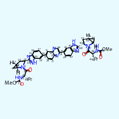 COC(=O)N[C@H](C(=O)N1[C@@H]2C[C@@H]2C[C@H]1c1nc2ccc(-c3ccc4nc(-c5ccc6nc([C@@H]7C[C@H]8C[C@H]8N7C(=O)[C@@H](NC(=O)OC)C(C)C)[nH]c6c5)cnc4c3)cc2[nH]1)C(C)C